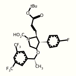 C[C@@H](O[C@H]1CN(C(=O)O)[C@@H](C=CC(=O)OC(C)(C)C)[C@@H]1c1ccc(F)cc1)c1cc(C(F)(F)F)cc(C(F)(F)F)c1